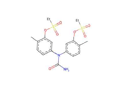 CCS(=O)(=O)Oc1cc(N(C(N)=O)c2ccc(C)c(OS(=O)(=O)CC)c2)ccc1C